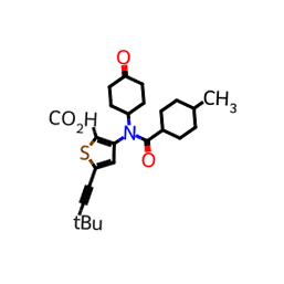 CC1CCC(C(=O)N(c2cc(C#CC(C)(C)C)sc2C(=O)O)C2CCC(=O)CC2)CC1